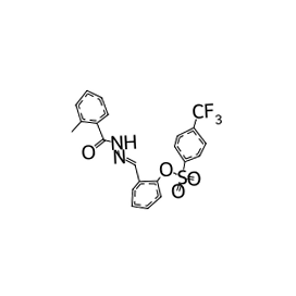 Cc1ccccc1C(=O)NN=Cc1ccccc1OS(=O)(=O)c1ccc(C(F)(F)F)cc1